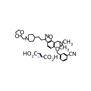 CN(C)Cc1c(OCc2cccc(C#N)c2)ccc2c(CCC3CCN(CC4OCCO4)CC3)noc12.O=C(O)/C=C/C(=O)O